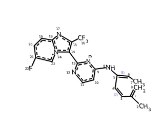 C=C(C)/C=C\C(=C/C)Nc1ccnc(-c2c(C(F)(F)F)nc3ccc(F)cn23)n1